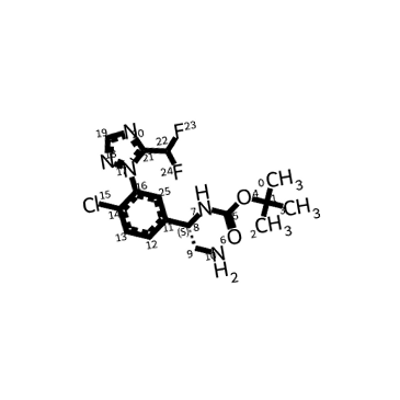 CC(C)(C)OC(=O)N[C@H](CN)c1ccc(Cl)c(-n2ncnc2C(F)F)c1